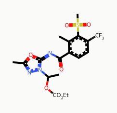 CCOC(=O)OC(C)n1nc(C)o/c1=N/C(=O)c1ccc(C(F)(F)F)c(S(C)(=O)=O)c1C